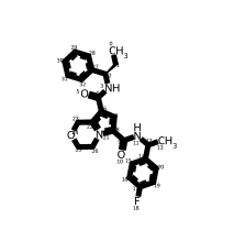 CC[C@@H](NC(=O)c1cc(C(=O)NC(C)c2ccc(F)cc2)n2c1COCC2)c1ccccc1